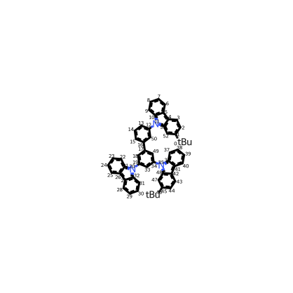 CC(C)(C)c1ccc2c3ccccc3n(-c3cccc(-c4cc(-n5c6ccccc6c6ccccc65)cc(-n5c6ccccc6c6ccc(C(C)(C)C)cc65)c4)c3)c2c1